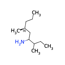 CCC[C@H](C)CC(N)C(C)CC